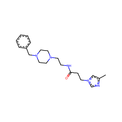 Cc1cn(CCC(=O)NCCN2CCN(Cc3ccccc3)CC2)cn1